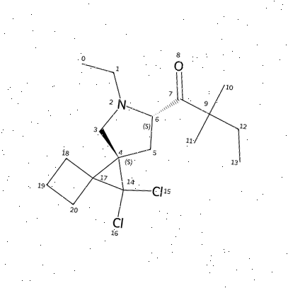 CCN1C[C@@]2(C[C@H]1C(=O)C(C)(C)CC)C(Cl)(Cl)C21CCC1